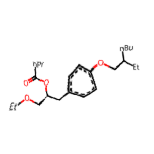 C[CH]CC(=O)O[C@H](COCC)Cc1ccc(OCC(CC)CCCC)cc1